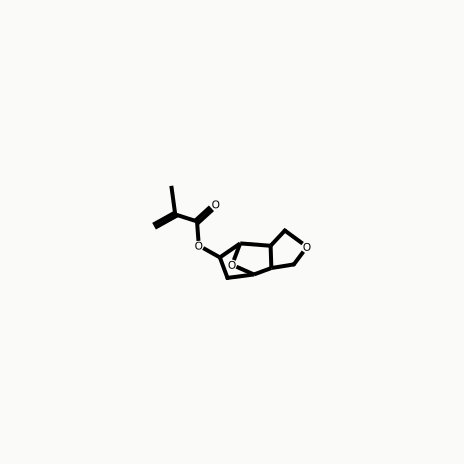 C=C(C)C(=O)OC1CC2OC1C1COCC21